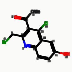 COC(=O)c1c(CBr)nc2ccc(O)cc2c1Cl